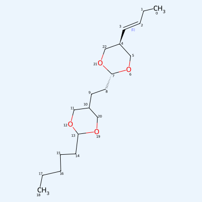 CC/C=C/[C@H]1CO[C@H](CCC2COC(CCCCC)OC2)OC1